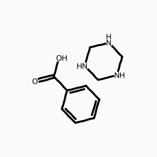 C1NCNCN1.O=C(O)c1ccccc1